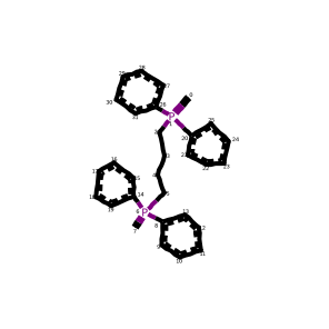 C=P(CCCCP(=C)(c1ccccc1)c1ccccc1)(c1ccccc1)c1ccccc1